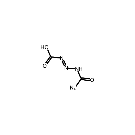 O=C(O)N=NN[C](=O)[Na]